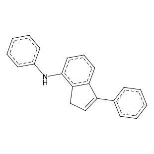 C1=C(c2ccccc2)c2cccc(Nc3ccccc3)c2C1